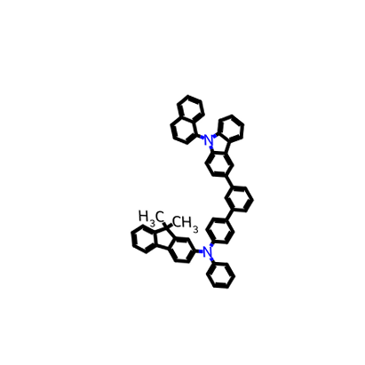 CC1(C)c2ccccc2-c2ccc(N(c3ccccc3)c3ccc(-c4cccc(-c5ccc6c(c5)c5ccccc5n6-c5cccc6ccccc56)c4)cc3)cc21